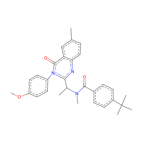 COc1ccc(-n2c(C(C)N(C)C(=O)c3ccc(C(C)(C)C)cc3)nc3ccc(C)cc3c2=O)cc1